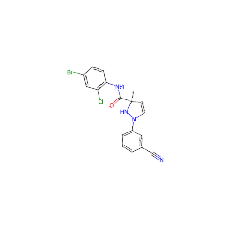 CC1(C(=O)Nc2ccc(Br)cc2Cl)C=CN(c2cccc(C#N)c2)N1